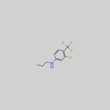 CCCNc1ccc(C(F)(F)F)c(F)c1